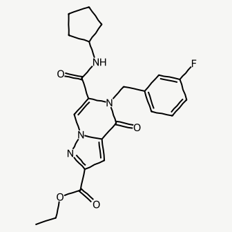 CCOC(=O)c1cc2c(=O)n(Cc3cccc(F)c3)c(C(=O)NC3CCCC3)cn2n1